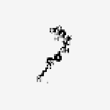 NCCCCCOc1cccc(-c2cccc(CNCC[C@H]3CN(c4ccc5c(n4)NC(=O)CO5)C(=O)O3)c2)n1